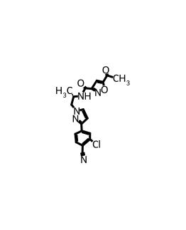 CC(=O)c1cc(C(=O)N[C@@H](C)Cn2ccc(-c3ccc(C#N)c(Cl)c3)n2)no1